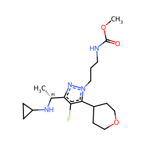 COC(=O)NCCCn1nc([C@@H](C)NC2CC2)c(F)c1C1CCOCC1